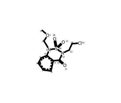 COCN1c2ccccc2C(=O)N(CCCl)S1(=O)=O